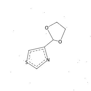 c1nc(C2OCCO2)cs1